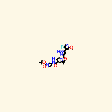 COc1cc(-c2cc(C(=O)N3CCC(C(=O)NC4CCN(C(=O)OC(C)(C)C)C4)CC34CC4)n[nH]2)c(F)cn1